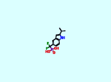 CC(C)c1cc2cc(C(F)(F)P(=O)(O)O)ccc2[nH]1